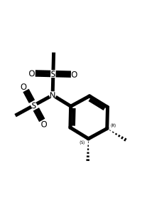 C[C@@H]1C=C(N(S(C)(=O)=O)S(C)(=O)=O)C=C[C@@H]1C